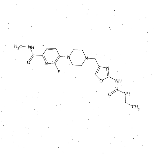 CCNC(=O)Nc1nc(CN2CCN(c3ccc(C(=O)NC)nc3F)CC2)co1